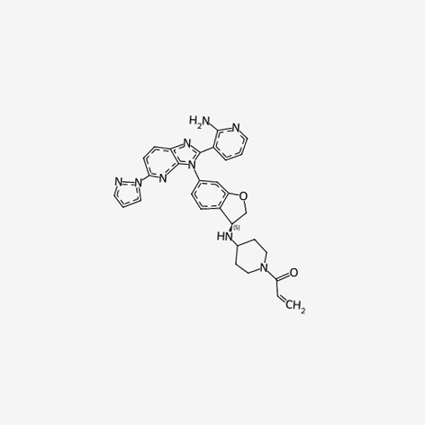 C=CC(=O)N1CCC(N[C@@H]2COc3cc(-n4c(-c5cccnc5N)nc5ccc(-n6cccn6)nc54)ccc32)CC1